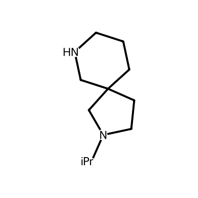 CC(C)N1CCC2(CCCNC2)C1